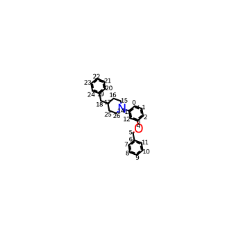 [c]1ccc(OCc2ccccc2)cc1N1CCC(Cc2ccccc2)CC1